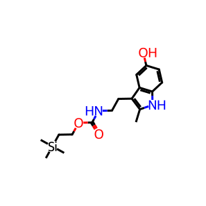 Cc1[nH]c2ccc(O)cc2c1CCNC(=O)OCC[Si](C)(C)C